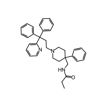 CCC(=O)NCC1(c2ccccc2)CCN(CCC(c2ccccc2)(c2ccccc2)c2ccccn2)CC1